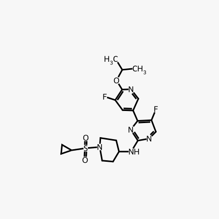 CC(C)Oc1ncc(-c2nc(NC3CCN(S(=O)(=O)C4CC4)CC3)ncc2F)cc1F